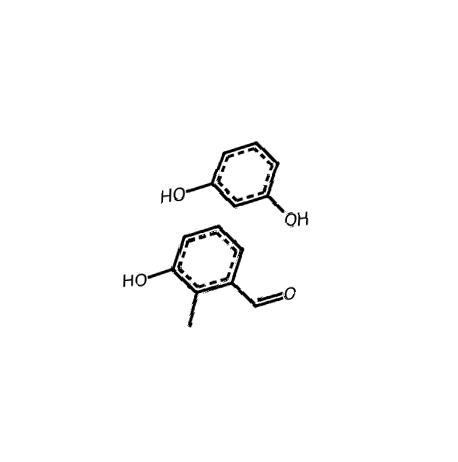 Cc1c(O)cccc1C=O.Oc1cccc(O)c1